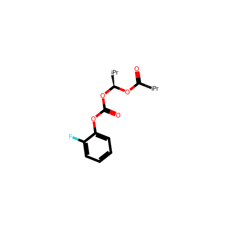 CC(C)C(=O)O[C@@H](OC(=O)Oc1ccccc1F)C(C)C